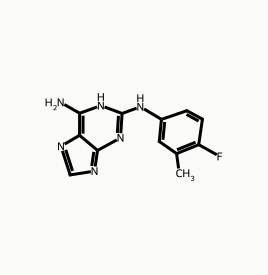 Cc1cc(Nc2nc3ncnc-3c(N)[nH]2)ccc1F